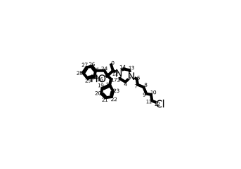 CC(N1CCN(CCCCCCCl)CC1)C(O)(Cc1ccccc1)Cc1ccccc1